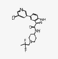 CC(F)(F)CN1CCC(NC(=O)c2n[nH]c3ccc(-c4cncc(Cl)c4)cc23)CC1